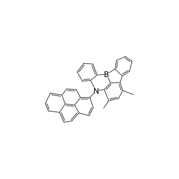 Cc1cc(C)c2c3c1-c1ccccc1B3c1ccccc1N2c1ccc2ccc3cccc4ccc1c2c34